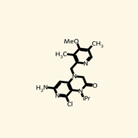 COc1c(C)cnc(CN2CC(=O)N(C(C)C)c3c2cc(N)nc3Cl)c1C